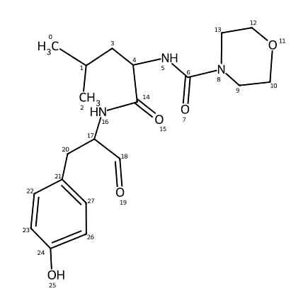 CC(C)CC(NC(=O)N1CCOCC1)C(=O)NC(C=O)Cc1ccc(O)cc1